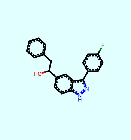 OC(Cc1ccccc1)c1ccc2[nH]nc(-c3ccc(F)cc3)c2c1